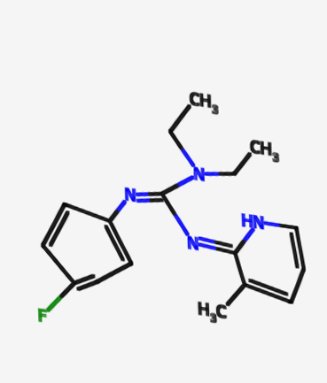 CCN(CC)C(=Nc1ccc(F)cc1)N=c1[nH]cccc1C